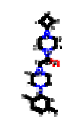 Cc1ccc(C)c(N2CCN(CC(=O)N3CCN(C4CCC4)CC3)CC2)c1